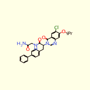 CC(C)Oc1cc2ncn(C(Cc3ccc(-c4ccccc4)cc3)C(=O)NCC(N)=O)c(=O)c2cc1Cl